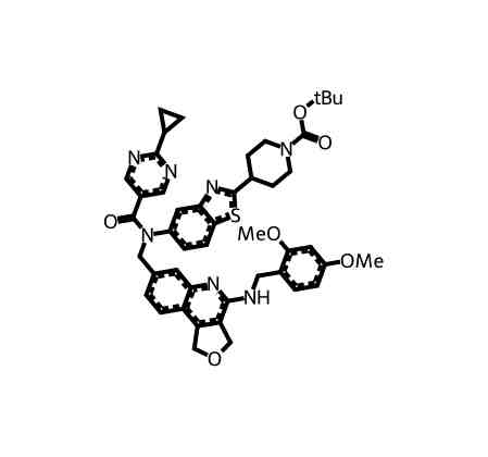 COc1ccc(CNc2nc3cc(CN(C(=O)c4cnc(C5CC5)nc4)c4ccc5sc(C6CCN(C(=O)OC(C)(C)C)CC6)nc5c4)ccc3c3c2COC3)c(OC)c1